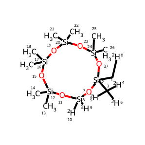 [2H]C[Si]1(C([2H])([2H])[2H])O[Si]([2H])([2H])O[Si](C)(C)O[Si](C)(C)O[Si](C)(C)O[Si](C)(C)O1